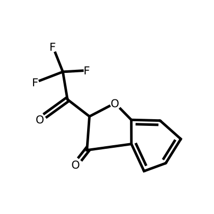 O=C1c2ccccc2OC1C(=O)C(F)(F)F